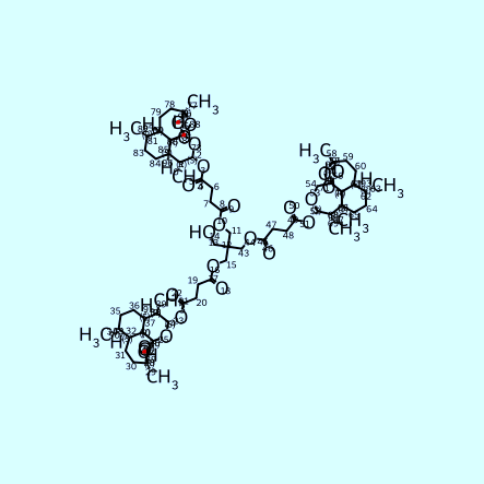 C[C@H]1[C@H](OC(=O)CCC(=O)OCC(CO)(COC(=O)CCC(=O)O[C@@H]2O[C@@H]3O[C@@]4(C)CC[C@H]5[C@H](C)CC[C@@H]([C@H]2C)[C@@]35OO4)COC(=O)CCC(=O)O[C@@H]2OC[C@@H]3O[C@@]4(C)CC[C@H]5[C@H](C)CC[C@@](C)([C@H]2C)[C@@]35OO4)O[C@@H]2O[C@@]3(C)CC[C@H]4[C@H](C)CC[C@@H]1[C@@]24OO3